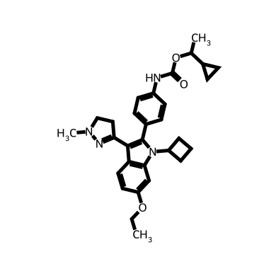 CCOc1ccc2c(C3=NN(C)CC3)c(-c3ccc(NC(=O)OC(C)C4CC4)cc3)n(C3CCC3)c2c1